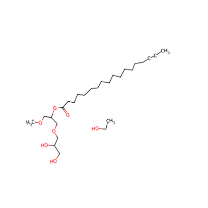 CCCCCCCCCCCCCCCCCC(=O)OC(COC)COCC(O)CO.CCO